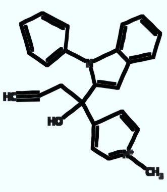 C#CCC(O)(c1cc[n+](C)cc1)c1cc2ccccc2n1-c1ccccc1